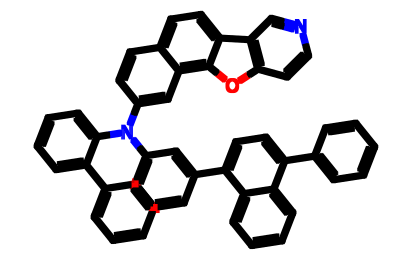 c1ccc(-c2ccccc2N(c2cccc(-c3ccc(-c4ccccc4)c4ccccc34)c2)c2ccc3ccc4c5cnccc5oc4c3c2)cc1